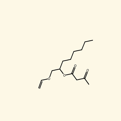 C=COCC(CCCCCC)OC(=O)CC(C)=O